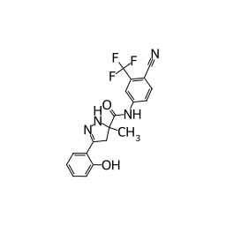 CC1(C(=O)Nc2ccc(C#N)c(C(F)(F)F)c2)CC(c2ccccc2O)=NN1